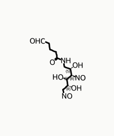 O=CCCCC(=O)NC[C@H](O)[C@@H](N=O)[C@H](O)[C@H](O)CN=O